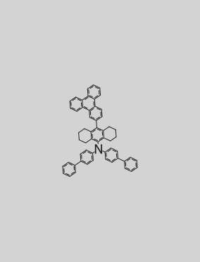 c1ccc(-c2ccc(N(c3ccc(-c4ccccc4)cc3)c3c4c(c(-c5ccc6c7ccccc7c7ccccc7c6c5)c5c3CCCC5)CCCC4)cc2)cc1